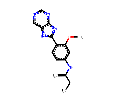 C=C(CC)Nc1ccc(-c2nc3ncncc3[nH]2)c(OC)c1